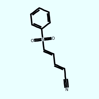 N#CC=CC=CS(=O)(=O)c1ccccc1